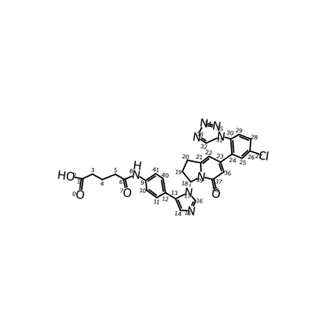 O=C(O)CCCC(=O)Nc1ccc(-c2cncn2[C@@H]2CCc3cc(-c4cc(Cl)ccc4-n4cnnn4)cc(=O)n32)cc1